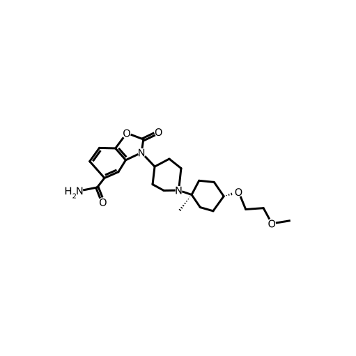 COCCO[C@H]1CC[C@](C)(N2CCC(n3c(=O)oc4ccc(C(N)=O)cc43)CC2)CC1